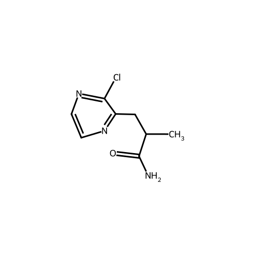 CC(Cc1nccnc1Cl)C(N)=O